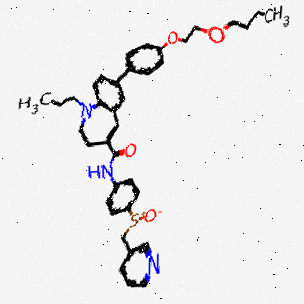 CCCCOCCOc1ccc(-c2ccc3c(c2)C=C(C(=O)Nc2ccc([S+]([O-])Cc4cccnc4)cc2)CCN3CCC)cc1